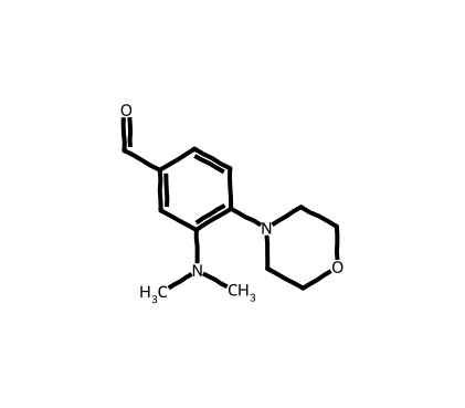 CN(C)c1cc(C=O)ccc1N1CCOCC1